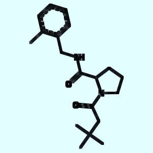 Cc1ccccc1CNC(=O)C1CCCN1C(=O)CC(C)(C)C